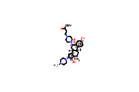 COC(=O)CCN1CCN([C@@H]2C[C@H]3[C@@H]4C[C@H](N5CCN(C)CC5)[C@H](O)[C@@]4(C)CC[C@@H]3[C@@]3(C)CC[C@H](O)C[C@]23O)CC1